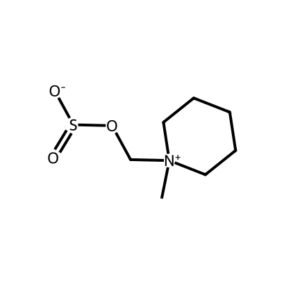 C[N+]1(COS(=O)[O-])CCCCC1